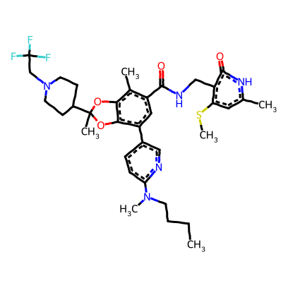 CCCCN(C)c1ccc(-c2cc(C(=O)NCc3c(SC)cc(C)[nH]c3=O)c(C)c3c2OC(C)(C2CCN(CC(F)(F)F)CC2)O3)cn1